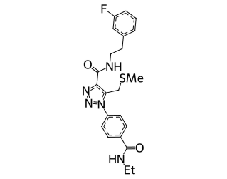 CCNC(=O)c1ccc(-n2nnc(C(=O)NCCc3cccc(F)c3)c2CSC)cc1